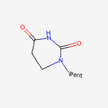 CCCC(C)N1CCC(=O)NC1=O